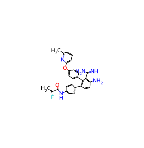 C=C(F)C(=O)Nc1ccc(-c2ccc(N)c(C(=N)N)c2-c2ccc(Oc3cccc(C)n3)cc2)cc1